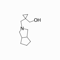 OCC1(CN2CC3CCCC3C2)CC1